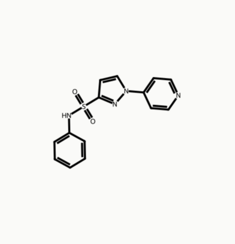 O=S(=O)(Nc1ccccc1)c1ccn(-c2ccncc2)n1